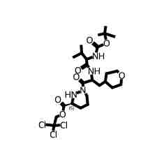 CC(C)C(NC(=O)OC(C)(C)C)C(=O)NC(CC1CCOCC1)C(=O)N1CCC[C@@H](C(=O)OCC(Cl)(Cl)Cl)N1